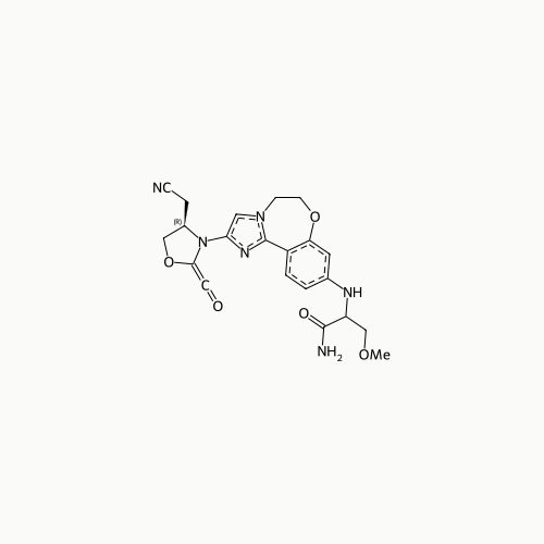 COCC(Nc1ccc2c(c1)OCCn1cc(N3C(=C=O)OC[C@H]3CC#N)nc1-2)C(N)=O